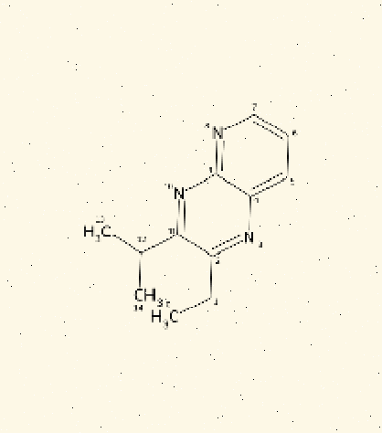 CCc1nc2cccnc2nc1C(C)C